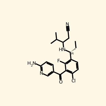 CC[C@@H](NC(CC#N)C(C)C)c1ccc(Cl)c(C(=O)c2ccc(N)nc2)c1F